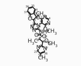 COc1ncnc(OC)c1-n1c(NS(=O)(=O)[C@@H](C)[C@H](OC)c2ncc(C)cn2)nnc1C1Cc2ccccc2O1